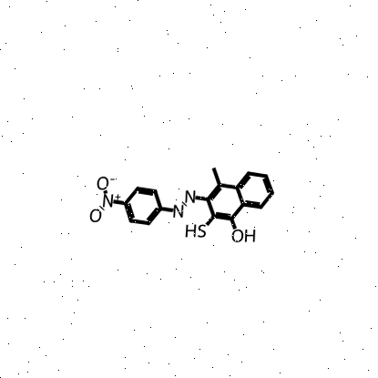 Cc1c(N=Nc2ccc([N+](=O)[O-])cc2)c(S)c(O)c2ccccc12